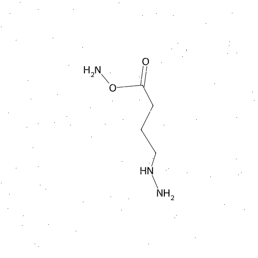 NNCCCC(=O)ON